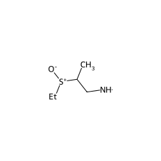 CC[S+]([O-])C(C)C[NH]